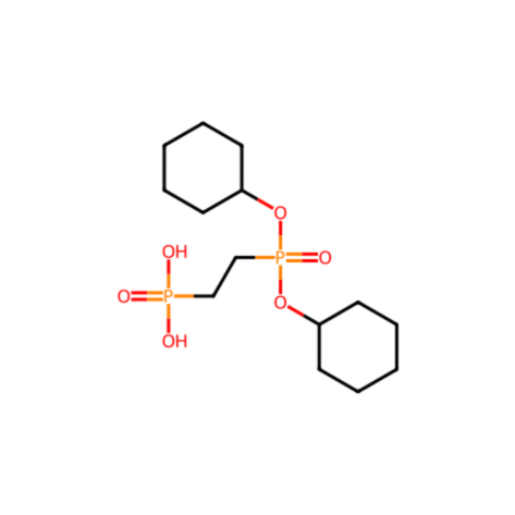 O=P(O)(O)CCP(=O)(OC1CCCCC1)OC1CCCCC1